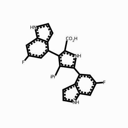 CC(C)c1c(-c2cc(F)cc3[nH]ccc23)[nH]c(C(=O)O)c1-c1cc(F)cc2[nH]ccc12